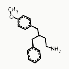 COc1ccc(C[C](CCN)Cc2ccccc2)cc1